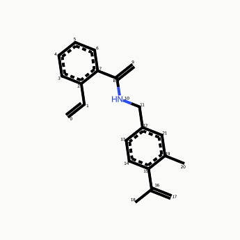 C=Cc1ccccc1C(=C)NCc1ccc(C(=C)C)c(C)c1